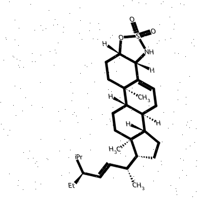 CC[C@H](/C=C/[C@@H](C)[C@H]1CC[C@H]2[C@@H]3CC=C4[C@H]5NS(=O)(=O)O[C@H]5CC[C@]4(C)[C@H]3CC[C@]12C)C(C)C